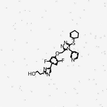 OCCn1ncc(-c2cc(F)c(OCc3nnc(S[C@H]4C=CCCC4)n3-c3cccnc3)cc2F)n1